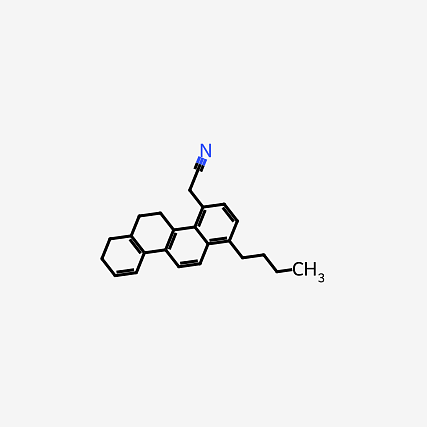 CCCCc1ccc(CC#N)c2c3c(ccc12)C1=C(CCC=C1)CC3